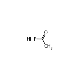 CC(=O)F.I